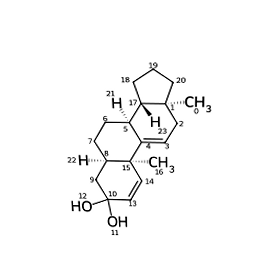 C[C@]12CC=C3[C@@H](CC[C@@H]4CC(O)(O)C=C[C@]34C)[C@@H]1CCC2